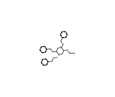 CCCCCOC1O[C@H](COCc2ccccc2)[C@@H](OCc2ccccc2)C[C@H]1OCc1ccccc1